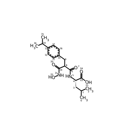 CC(C)C[C@H](NC(=O)C(Cc1ccc(C(C)C)cc1)C(=O)NO)C(=O)O